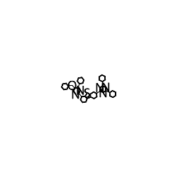 c1ccc(Oc2cnc(-c3cccc4c3sc3cc(-c5nc(-c6ccccc6)nc(-c6ccccc6)n5)ccc34)nc2-c2ccccc2)cc1